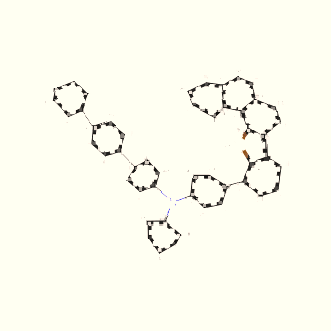 c1ccc(-c2ccc(-c3ccc(N(c4ccccc4)c4ccc(-c5cccc6c5sc5c6ccc6ccc7ccccc7c65)cc4)cc3)cc2)cc1